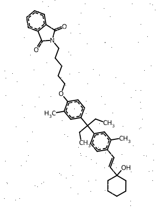 CCC(CC)(c1ccc(C=CC2(O)CCCCC2)c(C)c1)c1ccc(OCCCCCN2C(=O)c3ccccc3C2=O)c(C)c1